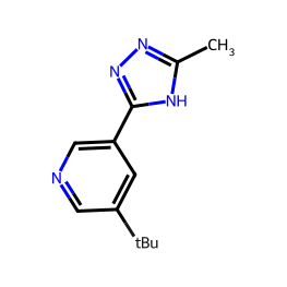 Cc1nnc(-c2cncc(C(C)(C)C)c2)[nH]1